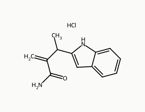 C=C(C(N)=O)C(C)c1cc2ccccc2[nH]1.Cl